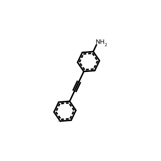 Nc1ccc(C#Cc2cc[c]cc2)cc1